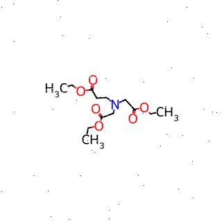 CCOC(=O)CCN(CC(=O)OCC)CC(=O)OCC